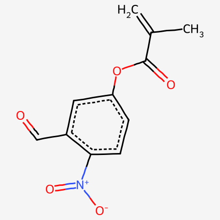 C=C(C)C(=O)Oc1ccc([N+](=O)[O-])c(C=O)c1